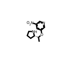 CC(Oc1cncc([N+](=O)[O-])c1)[C@@H]1CCCN1